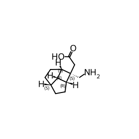 NC[C@]1(CC(=O)O)[C@@H]2CC[C@@H]3CC[C@H]1[C@@H]32